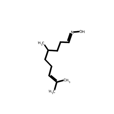 CC(C)=CCCC(C)CCC=NO